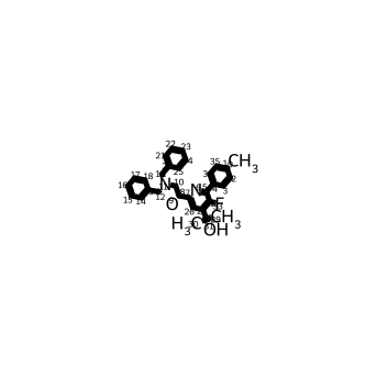 Cc1ccc(-c2nc(C(=O)CN(Cc3ccccc3)Cc3ccccc3)cc(C(C)(C)O)c2F)cc1